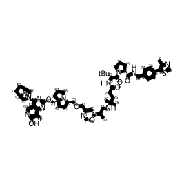 Cc1ncsc1-c1ccc(CNC(=O)[C@H]2CCCN2C(=O)[C@H](NC(=O)CCC(C)(C)NCC(C)N2C=C(COC[C@H]3CC[C@@]4(COc5nc(N6CC7CCC(C6)N7)c6cnc(O)c(F)c6n5)CCCN34)N=PO2)C(C)(C)C)cc1